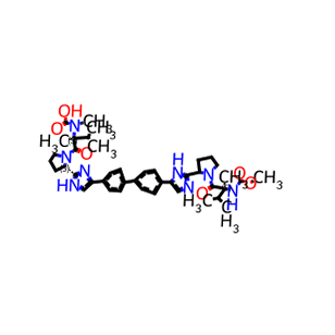 COC(=O)N[C@](C)(C(=O)N1CCCC1c1ncc(-c2ccc(-c3ccc(-c4c[nH]c([C@@H]5CCCN5C(=O)[C@](C)(C(C)C)N(C)C(=O)O)n4)cc3)cc2)[nH]1)C(C)C